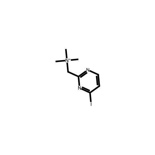 C[N+](C)(C)Cc1nccc(I)n1